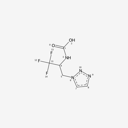 O=C(O)NC(Cn1ccnn1)C(F)(F)F